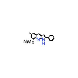 CNc1cc(C)cc2cc3cc(-c4ccccc4)[nH]c3nc12